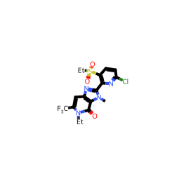 CCn1c(C(F)(F)F)cc2nc(-c3nc(Cl)ccc3S(=O)(=O)CC)n(C)c2c1=O